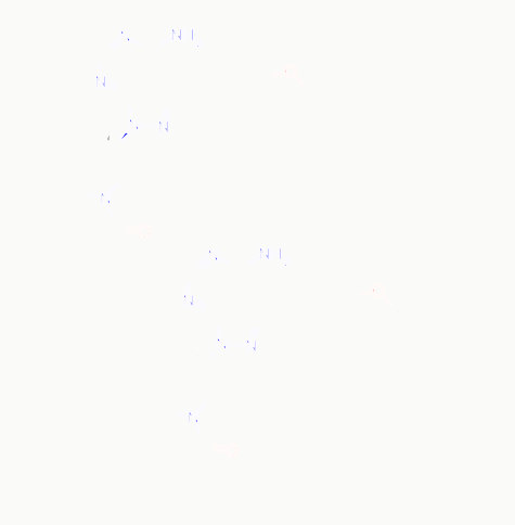 C=CC(=O)N1CCC[C@@H](n2nc(-c3ccc(Oc4ccccc4)cc3)c3c(N)ncnc32)C1.C=CC(=O)N1CCC[C@H](n2nc(-c3ccc(Oc4ccccc4)cc3)c3c(N)ncnc32)C1